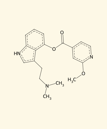 COc1cc(C(=O)Oc2cccc3[nH]cc(CCN(C)C)c23)ccn1